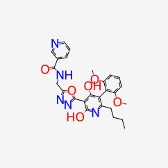 CCCCc1nc(O)c(-c2nnc(CNC(=O)c3cccnc3)o2)c(O)c1-c1c(OC)cccc1OC